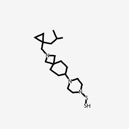 CC(C)CC1(CN2CC3(CCC(N4CCN(SS)CC4)CC3)C2)CC1